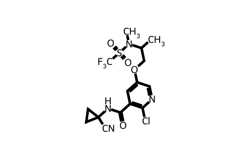 CC(COc1cnc(Cl)c(C(=O)NC2(C#N)CC2)c1)N(C)S(=O)(=O)C(F)(F)F